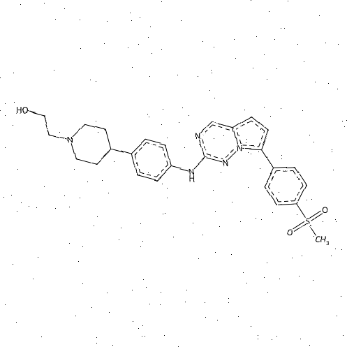 CS(=O)(=O)c1ccc(-c2ccc3cnc(Nc4ccc(C5CCN(CCO)CC5)cc4)nn23)cc1